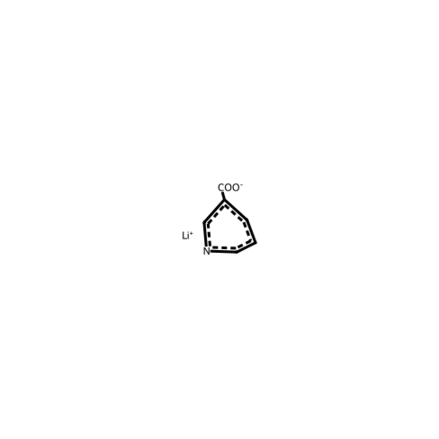 O=C([O-])c1cccnc1.[Li+]